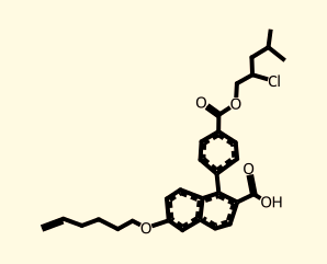 C=CCCCCOc1ccc2c(-c3ccc(C(=O)OCC(Cl)CC(C)C)cc3)c(C(=O)O)ccc2c1